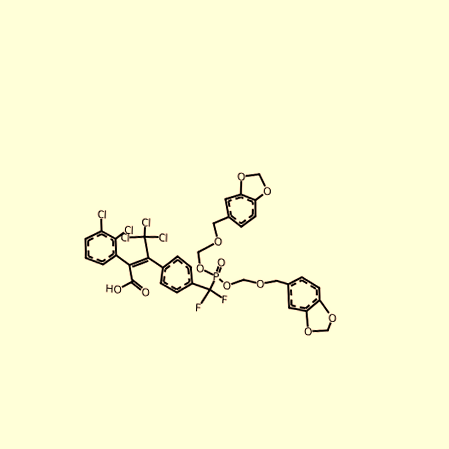 O=C(O)C(=C(c1ccc(C(F)(F)P(=O)(OCOCc2ccc3c(c2)OCO3)OCOCc2ccc3c(c2)OCO3)cc1)C(Cl)(Cl)Cl)c1cccc(Cl)c1Cl